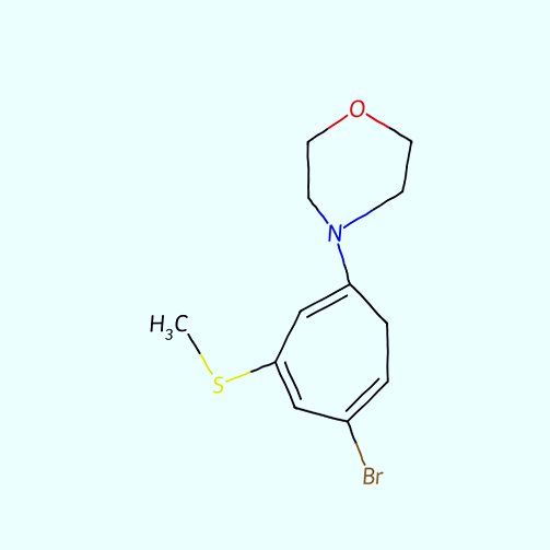 CSC1=CC(Br)=CCC(N2CCOCC2)=C1